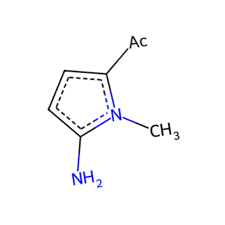 CC(=O)c1ccc(N)n1C